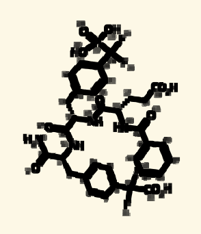 NC(=O)[C@H](Cc1ccc(C(F)(F)C(=O)O)cc1)NC(=O)[C@H](Cc1ccc(C(F)(F)P(=O)(O)O)cc1)NC(=O)[C@H](CCC(=O)O)NC(=O)c1ccccc1